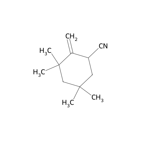 C=C1C(C#N)CC(C)(C)CC1(C)C